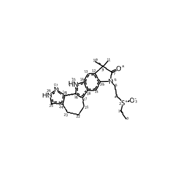 CC[S+]([O-])CCN1C(=O)C(C)(C)c2cc3[nH]c4c(c3cc21)CCCc1c[nH]nc1-4